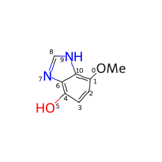 COc1ccc(O)c2nc[nH]c12